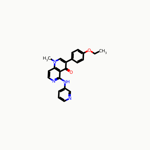 CCOc1ccc(-c2cn(C)c3ccnc(Nc4cccnc4)c3c2=O)cc1